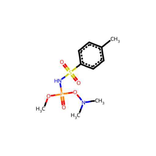 COP(=O)(NS(=O)(=O)c1ccc(C)cc1)ON(C)C